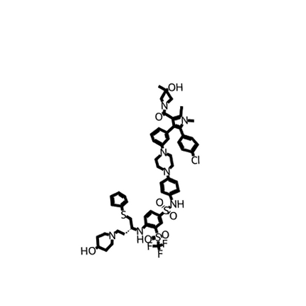 Cc1c(C(=O)N2CC(C)(O)C2)c(-c2cccc(N3CCN(c4ccc(NS(=O)(=O)c5ccc(N[C@H](CCN6CCC(O)CC6)CSc6ccccc6)c(S(=O)(=O)C(F)(F)F)c5)cc4)CC3)c2)c(-c2ccc(Cl)cc2)n1C